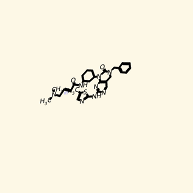 Cc1cnc(Nc2ncc3c(n2)N(C2CCCC(NC(=O)/C=C/CN(C)C)C2)C(=O)N(Cc2ccccc2)C3)s1